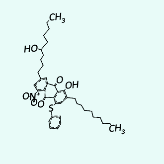 CCCCCCCCCCc1cc(Sc2ccccc2)c2c(c1O)C(=O)c1cc(CCCCC(O)CCCCC)cc([N+](=O)[O-])c1C2=O